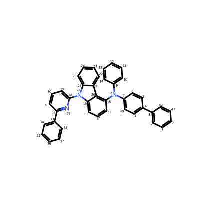 c1ccc(-c2ccc(N(c3ccccc3)c3cccc4c3c3ccccc3n4-c3cccc(-c4ccccc4)n3)cc2)cc1